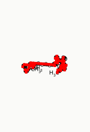 Cc1ccc(N(C(=O)c2cc(-c3cc4c(cc3C(=O)N3Cc5ccccc5C[C@H]3CN3CCN(CCOCCOCCOCCOCCN(Cc5ccc(OCc6ccccc6)c(OCCc6ccccc6)c5)C(=O)OC(C)(C)C)CC3)OCO4)n3c2CCCC3)c2ccccc2)cc1